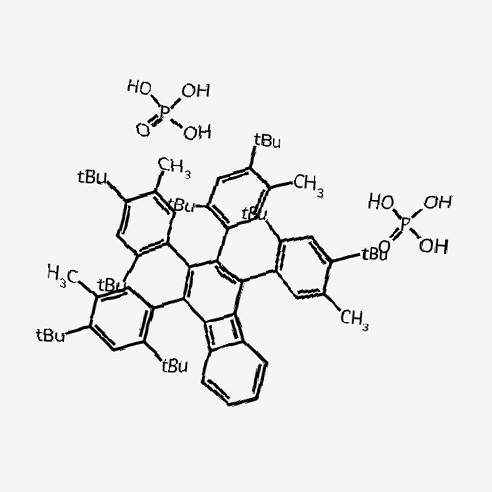 Cc1cc(-c2c(-c3cc(C)c(C(C)(C)C)cc3C(C)(C)C)c(-c3cc(C)c(C(C)(C)C)cc3C(C)(C)C)c3c(c2-c2cc(C)c(C(C)(C)C)cc2C(C)(C)C)=c2ccccc2=3)c(C(C)(C)C)cc1C(C)(C)C.O=P(O)(O)O.O=P(O)(O)O